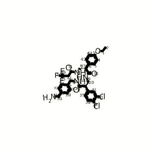 CCOc1ccc([C@@H](CNC(=O)CC(F)(F)F)C(=O)NC[C@H](C(=O)NCc2ccc(CN)cc2)c2ccc(Cl)c(Cl)c2)cc1